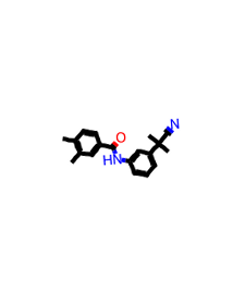 Cc1ccc(C(=O)Nc2cccc(C(C)(C)C#N)c2)cc1C